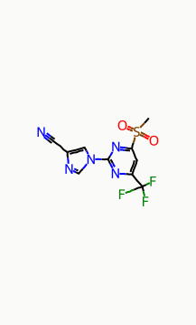 CS(=O)(=O)c1cc(C(F)(F)F)nc(-n2cnc(C#N)c2)n1